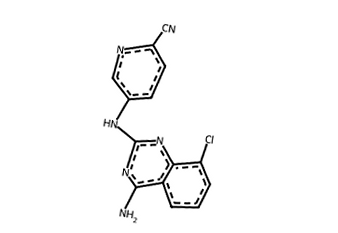 N#Cc1ccc(Nc2nc(N)c3cccc(Cl)c3n2)cn1